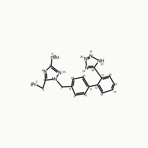 CCCCc1nc(CC(C)C)n(Cc2ccc(-c3ccccc3-c3nnn[nH]3)cc2)n1